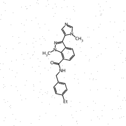 CCc1ccc(CNC(=O)c2cccc3c(-c4cncn4C)nn(C)c23)cc1